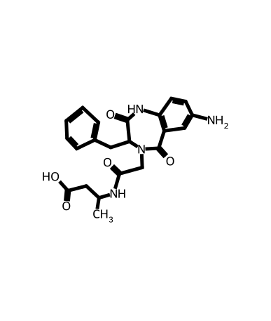 CC(CC(=O)O)NC(=O)CN1C(=O)c2cc(N)ccc2NC(=O)C1Cc1ccccc1